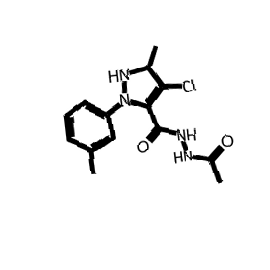 CC(=O)NNC(=O)C1=C(Cl)C(C)NN1c1cccc(C)c1